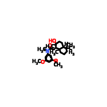 COc1cc(OC)cc(N(C)C(=O)C[C@@H]2[C@]3(C)CCCC(C)(C)[C@@H]3CC[C@@]2(C)O)c1